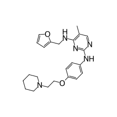 Cc1cnc(Nc2ccc(OCCN3CCCCC3)cc2)nc1NCc1ccco1